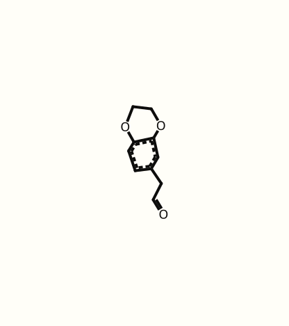 O=CCc1ccc2c(c1)OCCO2